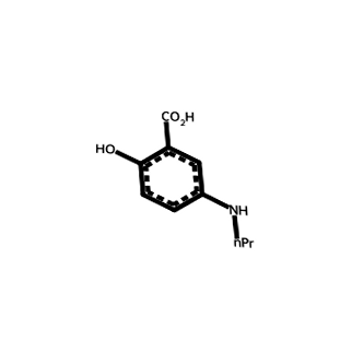 CCCNc1ccc(O)c(C(=O)O)c1